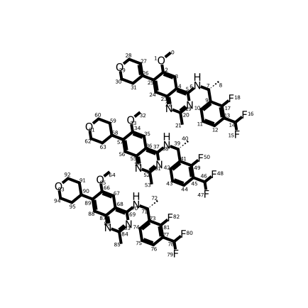 COc1cc2c(N[C@H](C)c3cccc(C(F)F)c3F)nc(C)nc2cc1C1=CCOCC1.COc1cc2c(N[C@H](C)c3cccc(C(F)F)c3F)nc(C)nc2cc1C1CCOCC1.COc1cc2c(N[C@H](C)c3cccc(C(F)F)c3F)nc(C)nc2cc1C1CCOCC1